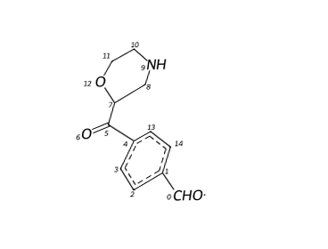 O=[C]c1ccc(C(=O)C2CNCCO2)cc1